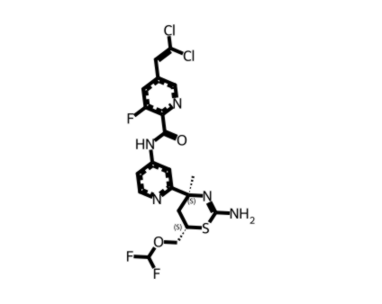 C[C@@]1(c2cc(NC(=O)c3ncc(C=C(Cl)Cl)cc3F)ccn2)C[C@@H](COC(F)F)SC(N)=N1